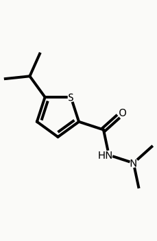 CC(C)c1ccc(C(=O)NN(C)C)s1